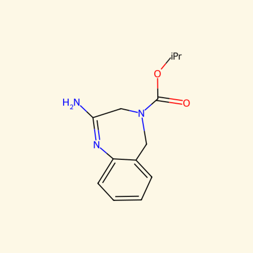 CC(C)OC(=O)N1CC(N)=Nc2ccccc2C1